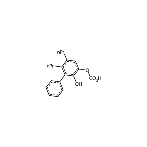 CCCc1cc(OC(=O)O)c(O)c(-c2ccccc2)c1CCC